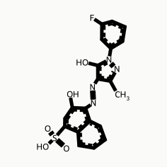 Cc1nn(-c2cccc(F)c2)c(O)c1N=Nc1c(O)cc(S(=O)(=O)O)c2ccccc12